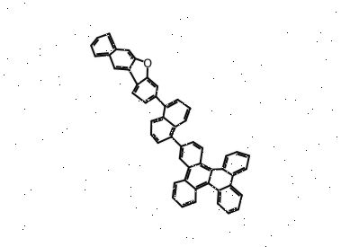 c1ccc2cc3c(cc2c1)oc1cc(-c2cccc4c(-c5ccc6c(c5)c5ccccc5c5c7ccccc7c7ccccc7c65)cccc24)ccc13